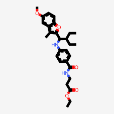 CCOC(=O)CCNC(=O)c1ccc(NC(c2oc3ccc(OC)cc3c2C)C(CC)CC)cc1